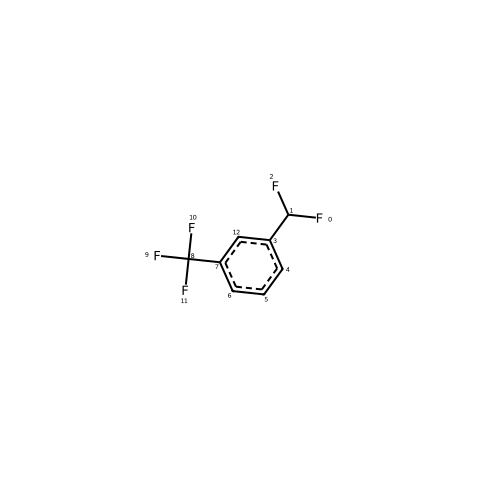 FC(F)c1cccc(C(F)(F)F)c1